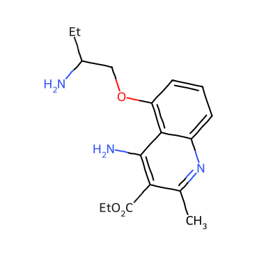 CCOC(=O)c1c(C)nc2cccc(OCC(N)CC)c2c1N